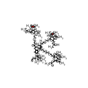 CC(=O)NC1C(OCCOCCNC(=O)C(Cc2ccc(OP(OCCC#N)N(C(C)C)C(C)C)cc2)N(CC(=O)NCCOCCOCCOC2OC(COC(C)=O)C(OC(C)=O)C(OC(C)=O)C2NC(C)=O)CC(=O)NCCOCCOC2OC(COC(C)O)C(OC(C)=O)C(OC(C)=O)C2NC(C)=O)OC(COC(C)=O)C(OC(C)=O)C1OC(C)=O